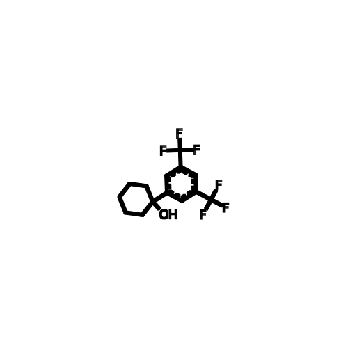 OC1(c2cc(C(F)(F)F)cc(C(F)(F)F)c2)CCCCC1